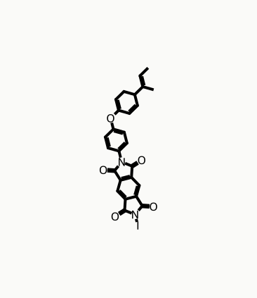 CC=C(C)C1C=CC(Oc2ccc(-n3c(=O)c4cc5c(=O)n(I)c(=O)c5cc4c3=O)cc2)=CC1